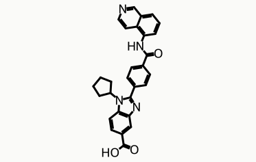 O=C(O)c1ccc2c(c1)nc(-c1ccc(C(=O)Nc3cccc4cnccc34)cc1)n2C1CCCC1